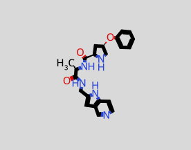 C[C@H](NC(=O)[C@H]1C[C@H](Oc2ccccc2)CN1)C(=O)NCc1cc2cnccc2[nH]1